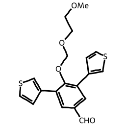 COCCOCOc1c(-c2ccsc2)cc(C=O)cc1-c1ccsc1